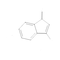 BrC1=C[CH]([Zr+3])c2ccccc21.[Cl-].[Cl-].[Cl-]